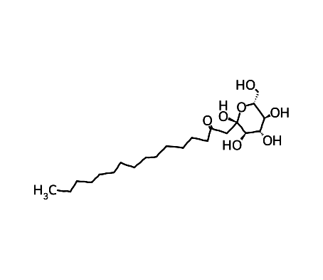 CCCCCCCCCCCCCCC(=O)C[C@]1(O)O[C@H](CO)[C@@H](O)[C@H](O)[C@H]1O